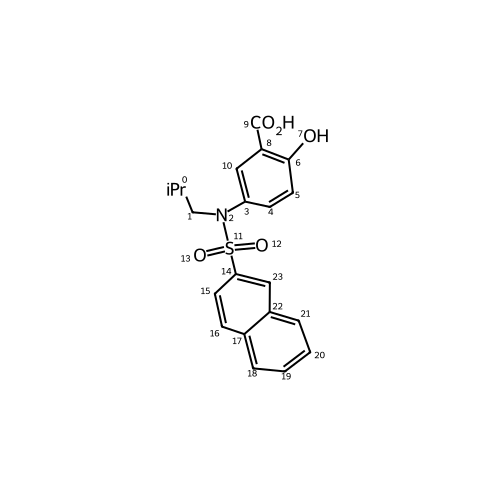 CC(C)CN(c1ccc(O)c(C(=O)O)c1)S(=O)(=O)c1ccc2ccccc2c1